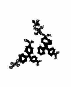 CCN(CC)c1ccc(C(=C2C=CC(=[N+](CC)CC)C=C2)c2ccccc2)cc1.CCN(CC)c1ccc(C(=C2C=CC(=[N+](CC)CC)C=C2)c2ccccc2)cc1.O=P(O)(O)O.[O]=[Mo](=[O])([O-])[O-].[O]=[W](=[O])([OH])[OH]